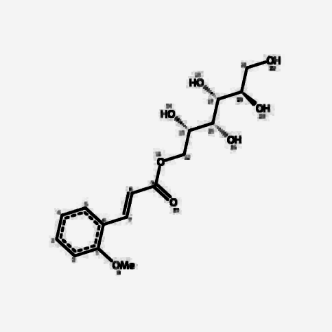 COc1ccccc1/C=C/C(=O)OC[C@H](O)[C@@H](O)[C@H](O)[C@H](O)CO